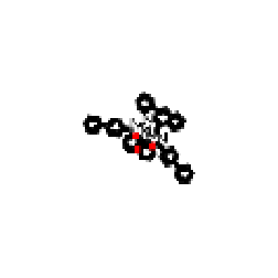 c1ccc(-c2ccc(-c3nc(-c4ccccc4)nc(-c4c5ccccc5cc5c6ccccc6n(-c6nc(-c7ccccc7)nc(-c7ccc(-c8ccccc8)cc7)n6)c45)n3)cc2)cc1